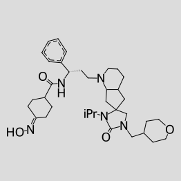 CC(C)N1C(=O)N(CC2CCOCC2)CC12CC1CCCN(CC[C@H](NC(=O)C3CCC(=NO)CC3)c3ccccc3)C1C2